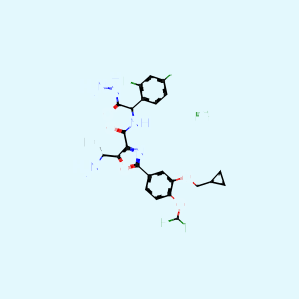 C[C@H](N)c1oc(-c2ccc(OC(F)F)c(OCC3CC3)c2)nc1C(=O)NC(C(=O)NN)c1ccc(F)cc1F.Cl.Cl